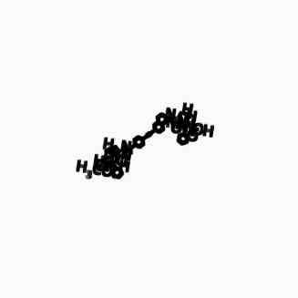 COC(=O)N[C@@H](C(=O)N1[C@@H]2C[C@H]2C[C@H]1c1nc(-c2ccc(C#Cc3ccc4c(ccc5nc([C@@H]6C[C@H]7C[C@H]7N6C(=O)[C@H](NC(=O)O)c6ccccc6)[nH]c54)c3)cc2)c[nH]1)c1ccccc1